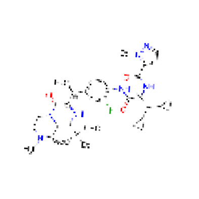 CCn1nccc1C(=O)N[C@H](C(=O)Nc1ccc([C@H](C)[C@@H](NCC(C=O)(CC)OC)C(=O)N2CCN(C)CC2)cc1F)C(C1CC1)C1CC1